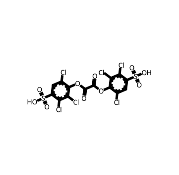 O=C(Oc1c(Cl)cc(S(=O)(=O)O)c(Cl)c1Cl)C(=O)Oc1c(Cl)cc(S(=O)(=O)O)c(Cl)c1Cl